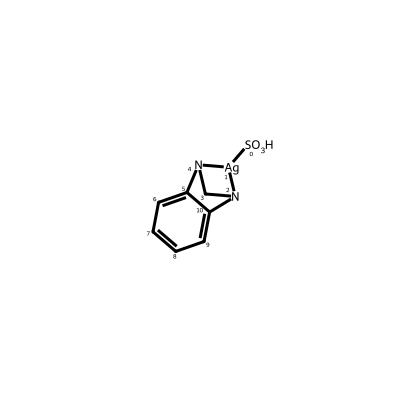 O=[S](=O)(O)[Ag]1[N]2C[N]1c1ccccc12